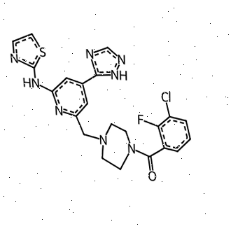 O=C(c1cccc(Cl)c1F)N1CCN(Cc2cc(-c3ncn[nH]3)cc(Nc3nccs3)n2)CC1